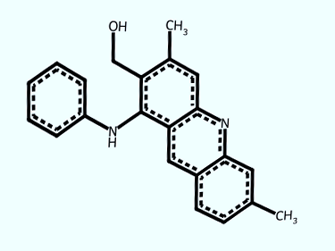 Cc1ccc2cc3c(Nc4ccccc4)c(CO)c(C)cc3nc2c1